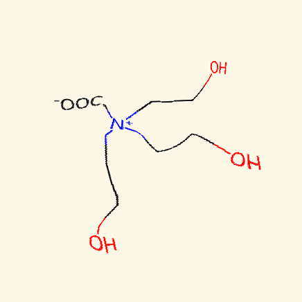 O=C([O-])[N+](CCO)(CCO)CCO